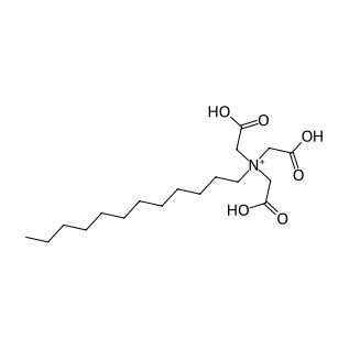 CCCCCCCCCCCC[N+](CC(=O)O)(CC(=O)O)CC(=O)O